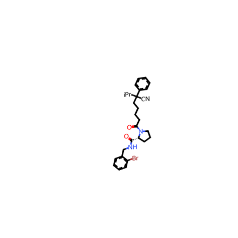 CC(C)C(C#N)(CCCCC(=O)N1CCC[C@@H]1C(=O)NCc1ccccc1Br)c1ccccc1